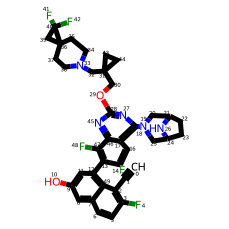 C#Cc1c(F)ccc2cc(O)cc(-c3c(F)cc4c(N5CC6CCC(C5)N6)nc(OCC5(CN6CCC7(CC6)CC7(F)F)CC5)nc4c3F)c12